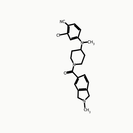 CN1Cc2ccc(C(=O)N3CCC(N(C)c4ccc(C#N)c(Cl)c4)CC3)cc2C1